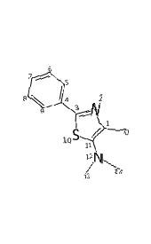 Cc1nc(-c2ccccc2)sc1N(C)C